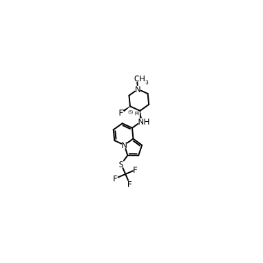 CN1CC[C@@H](Nc2cccn3c(SC(F)(F)F)ccc23)[C@@H](F)C1